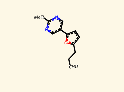 COc1ncc(-c2ccc(CCC=O)o2)cn1